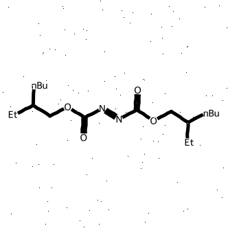 CCCCC(CC)COC(=O)/N=N/C(=O)OCC(CC)CCCC